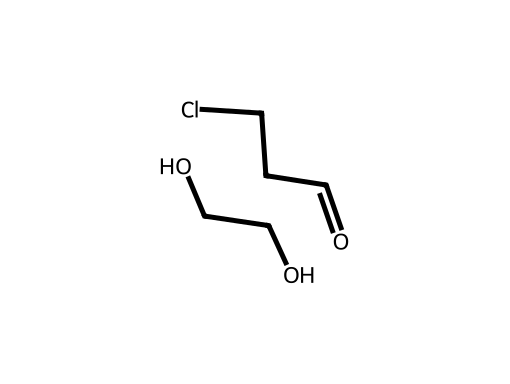 O=CCCCl.OCCO